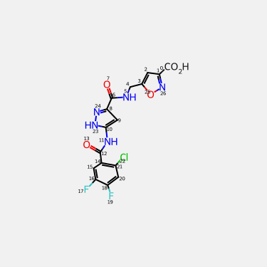 O=C(O)c1cc(CNC(=O)c2cc(NC(=O)c3cc(F)c(F)cc3Cl)[nH]n2)on1